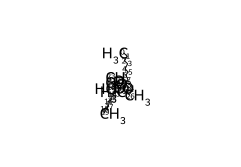 CCCCCCCCC(OOC(O)(CCCCCCC)C(=O)OC)OC(C)C